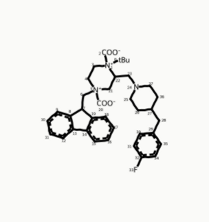 CC(C)(C)[N+]1(C(=O)[O-])CC[N+](CC2c3ccccc3-c3ccccc32)(C(=O)[O-])CC1CN1CCC(Cc2ccc(F)cc2)CC1